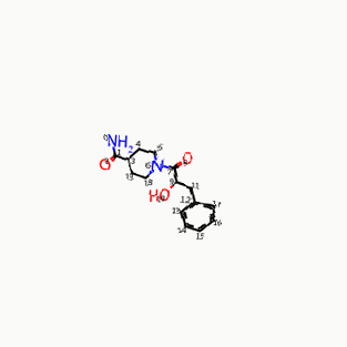 NC(=O)C1CCN(C(=O)C(O)Cc2ccccc2)CC1